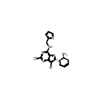 N[C@H]1CC=CC[C@@H]1c1sc2c(NCc3ccco3)nc(Cl)nc2c1Br